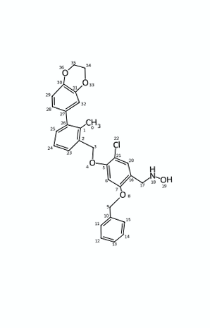 Cc1c(COc2cc(OCc3ccccc3)c(CNO)cc2Cl)cccc1-c1ccc2c(c1)OCCO2